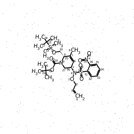 C=CCON([C@@H]1C=C(C)[C@@H](CO[Si](C)(C)C(C)(C)C)N(C(=O)OC(C)(C)C)C1)S(=O)(=O)c1ccccc1[N+](=O)[O-]